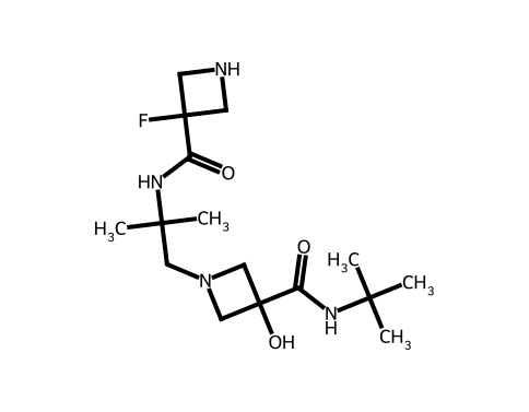 CC(C)(C)NC(=O)C1(O)CN(CC(C)(C)NC(=O)C2(F)CNC2)C1